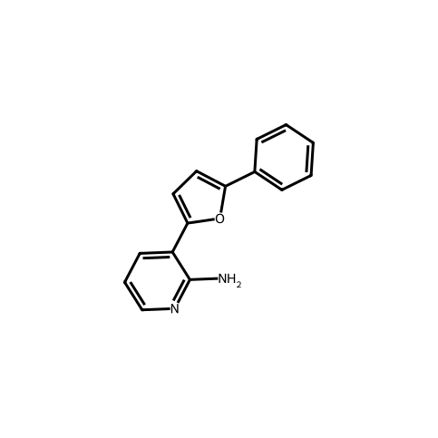 Nc1ncccc1-c1ccc(-c2ccccc2)o1